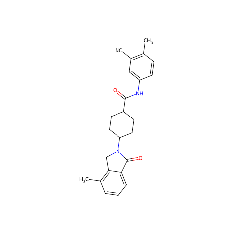 Cc1ccc(NC(=O)C2CCC(N3Cc4c(C)cccc4C3=O)CC2)cc1C#N